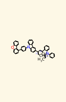 C/C=C/N(c1ccccc1)c1ccccc1/C(C)=C/C(=C\C)c1ccc2c(c1)c1ccccc1n2-c1ccc(-c2cccc3oc4ccccc4c23)cc1